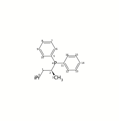 CC(C)C[C@H](C)P(c1ccccc1)c1ccccc1